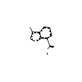 Cc1c[nH]c2c(C(=O)OBr)cccc12